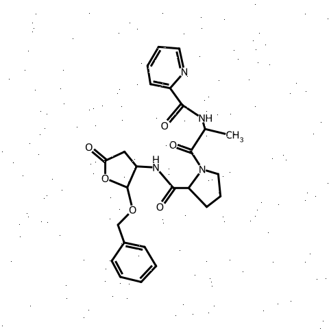 CC(NC(=O)c1ccccn1)C(=O)N1CCCC1C(=O)NC1CC(=O)OC1OCc1ccccc1